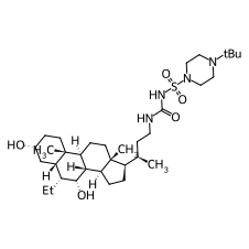 CC[C@H]1[C@@H](O)[C@@H]2[C@H](CC[C@]3(C)[C@@H]([C@H](C)CCNC(=O)NS(=O)(=O)N4CCN(C(C)(C)C)CC4)CC[C@@H]23)[C@@]2(C)CC[C@@H](O)C[C@@H]12